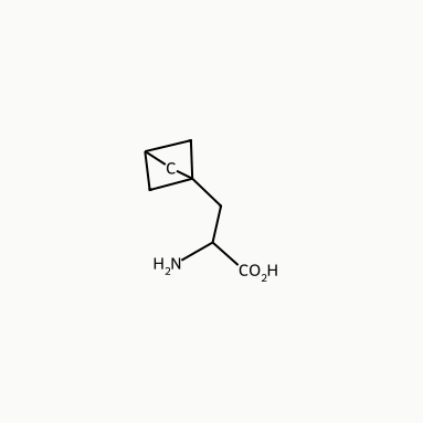 NC(CC12CC(C1)C2)C(=O)O